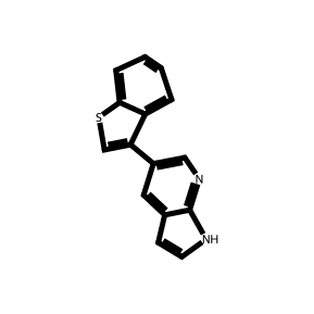 c1ccc2c(-c3cnc4[nH]ccc4c3)csc2c1